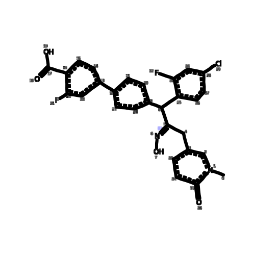 Cn1cc(C/C(=N\O)C(c2ccc(-c3ccc(C(=O)O)c(F)c3)cc2)c2ccc(Cl)cc2F)ccc1=O